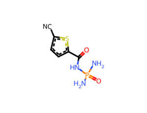 N#Cc1ccc(C(=O)NP(N)(N)=O)s1